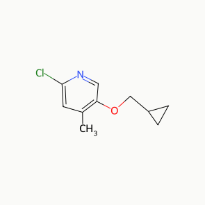 Cc1cc(Cl)ncc1OCC1CC1